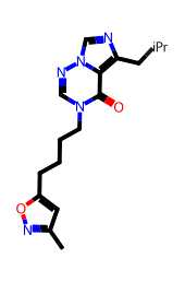 Cc1cc(CCCCn2cnn3cnc(CC(C)C)c3c2=O)on1